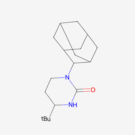 CC(C)(C)C1CCN(C2C3CC4CC(C3)CC2C4)C(=O)N1